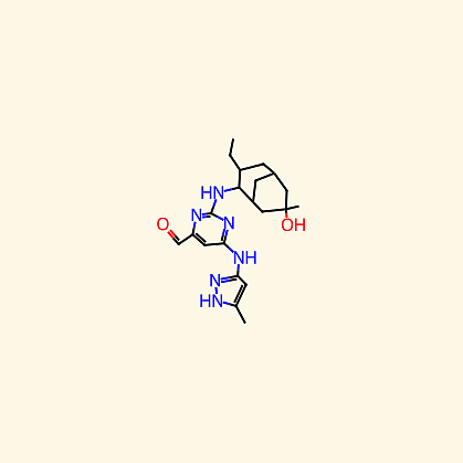 CCC1CC2CC(CC(C)(O)C2)C1Nc1nc(C=O)cc(Nc2cc(C)[nH]n2)n1